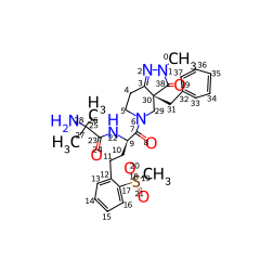 CN1N=C2CCN(C(=O)[C@@H](CCc3ccccc3S(C)(=O)=O)NC(=O)C(C)(C)N)C[C@@]2(Cc2ccccc2)C1=O